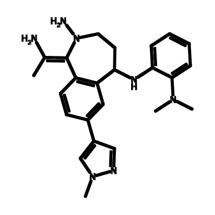 C/C(N)=C1\c2ccc(-c3cnn(C)c3)cc2C(Nc2ccccc2N(C)C)CCN1N